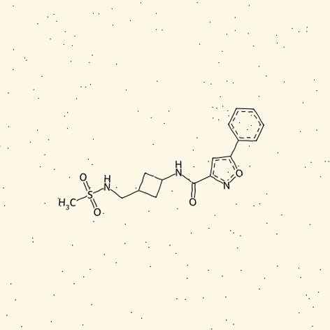 CS(=O)(=O)NCC1CC(NC(=O)c2cc(-c3ccccc3)on2)C1